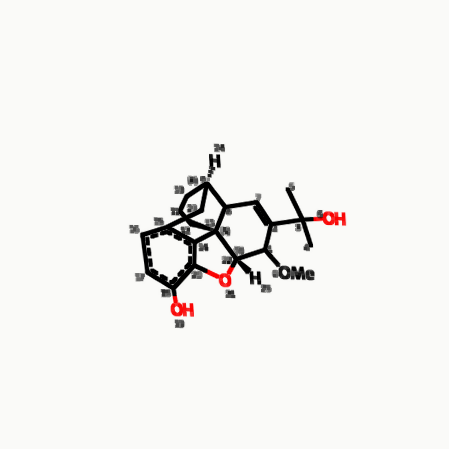 COC1C(C(C)(C)O)=CC2[C@@H]3CCC[C@@]24c2c(ccc(O)c2O[C@@H]14)C3